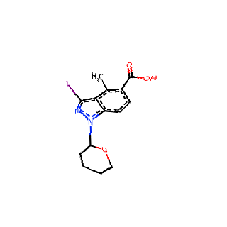 Cc1c(C(=O)O)ccc2c1c(I)nn2C1CCCCO1